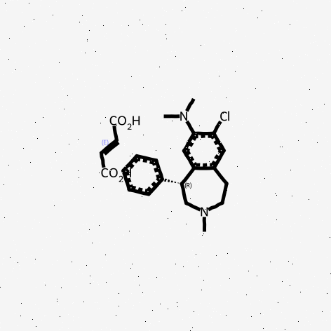 CN1CCc2cc(Cl)c(N(C)C)cc2[C@@H](c2ccccc2)C1.O=C(O)/C=C/C(=O)O